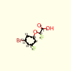 O=C(O)C(F)Oc1cc(F)cc(Br)c1